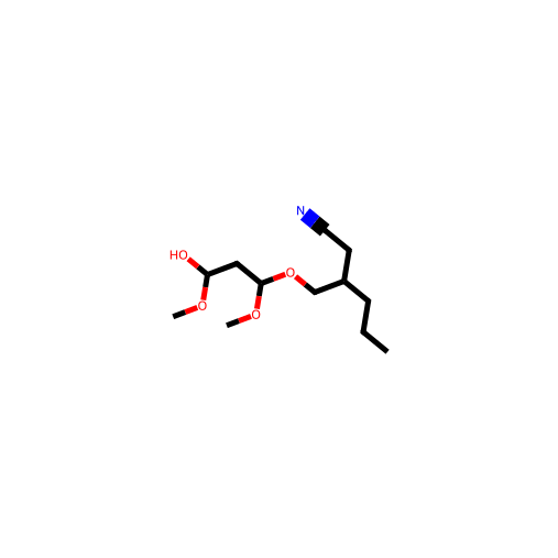 CCCC(CC#N)COC(CC(O)OC)OC